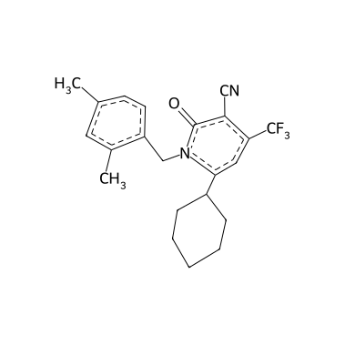 Cc1ccc(Cn2c(C3CCCCC3)cc(C(F)(F)F)c(C#N)c2=O)c(C)c1